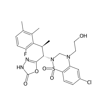 Cc1ccc(F)c([C@@H](C)[C@@H](c2n[nH]c(=O)o2)N2CN(CCO)c3cc(Cl)ccc3S2(=O)=O)c1C